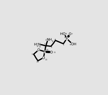 NC(N)(CCCP(=O)(O)O)P1(=O)OCCO1